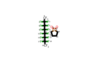 FC(F)(F)C(F)(F)C(F)(F)C(F)(F)C(F)(F)C(F)(F)C(F)(F)C(F)(F)F.O=S1(=O)CCCC1